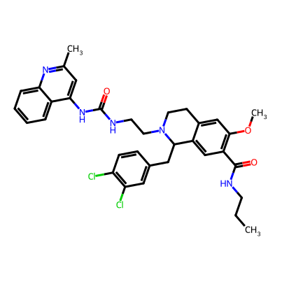 CCCNC(=O)c1cc2c(cc1OC)CCN(CCNC(=O)Nc1cc(C)nc3ccccc13)C2Cc1ccc(Cl)c(Cl)c1